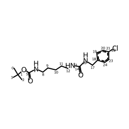 CC(C)(C)OC(=O)NCCCCCNC(=O)NCc1ccc(Cl)cc1